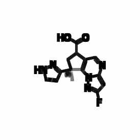 C[C@]1(c2cc[nH]n2)CC(C(=O)O)c2cnc3cc(F)nn3c21